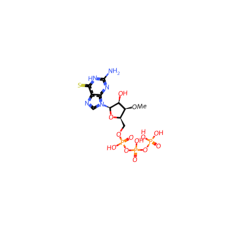 CO[C@@H]1[C@H](O)[C@H](n2cnc3c(=S)[nH]c(N)nc32)O[C@@H]1COP(=O)(O)OP(=O)(O)OP(=O)(O)O